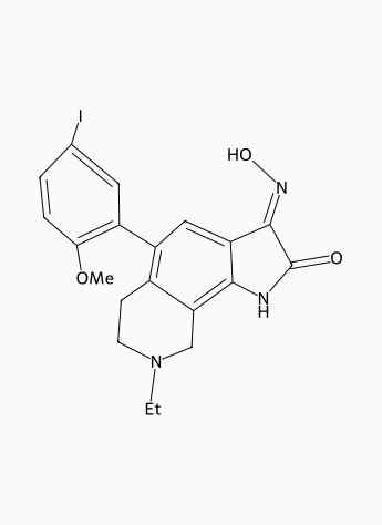 CCN1CCc2c(-c3cc(I)ccc3OC)cc3c(c2C1)NC(=O)/C3=N/O